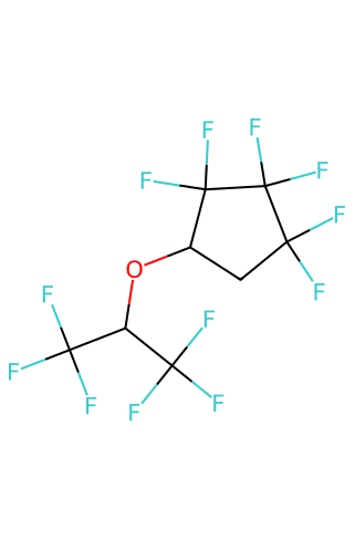 FC(F)(F)C(OC1CC(F)(F)C(F)(F)C1(F)F)C(F)(F)F